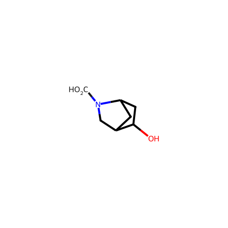 O=C(O)N1CC2CC1CC2O